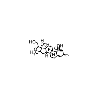 CC1C[C@H]2[C@@H]3CCC4=CC(=O)C=C(O)[C@]4(C)C3(F)CC[C@]2(C)[C@@]1(O)C(=O)CO